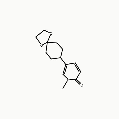 Cn1cc(C2CCC3(CC2)OCCO3)ccc1=O